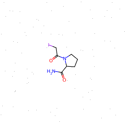 NC(=O)C1CCCN1C(=O)CI